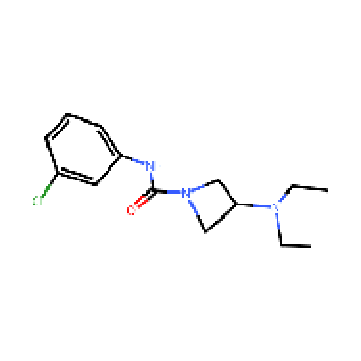 CCN(CC)C1CN(C(=O)Nc2cccc(Cl)c2)C1